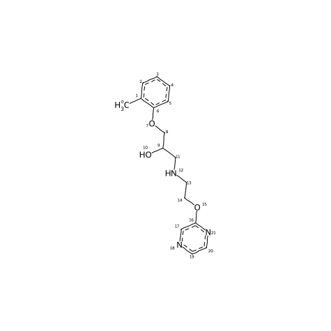 Cc1ccccc1OCC(O)CNCCOc1cnccn1